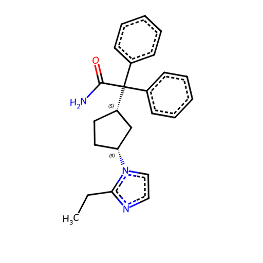 CCc1nccn1[C@@H]1CC[C@H](C(C(N)=O)(c2ccccc2)c2ccccc2)C1